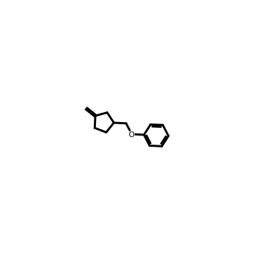 C=C1CCC(COc2ccccc2)C1